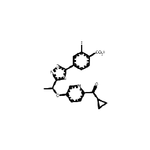 CC(Oc1ccc(C(=O)C2CC2)nc1)c1noc(-c2ccc(C(=O)O)c(F)c2)n1